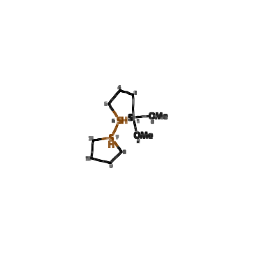 CO[Si]1(OC)CCC[SH]1[SH]1CCCC1